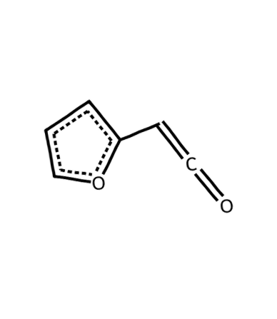 O=C=Cc1ccco1